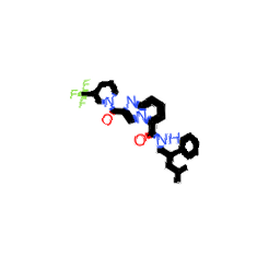 CC(C)CC(CNC(=O)c1cccc2nc(C(=O)N3CCCC(C(F)(F)F)C3)cn12)c1ccccc1